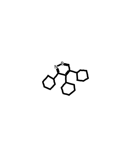 b1cc(C2CCCCC2)c(C2CCCCC2)c(C2CCCCC2)n1